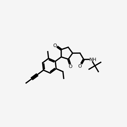 CC#Cc1cc(C)c(C2C(=O)CC(CC(=O)NC(C)(C)C)C2=O)c(CC)c1